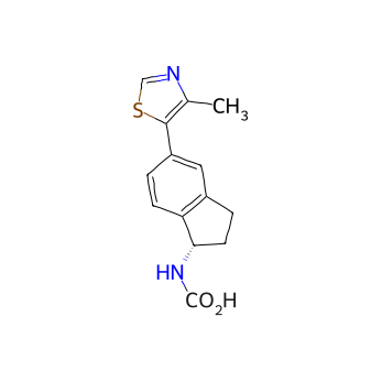 Cc1ncsc1-c1ccc2c(c1)CC[C@@H]2NC(=O)O